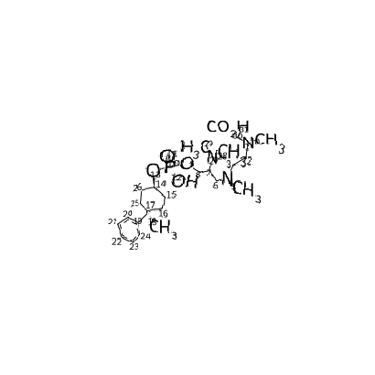 CN(CCN(C)CC(COP(=O)(O)O[C@H]1CC[C@@](C)(c2ccccc2)CC1)N(C)C)CC(=O)O